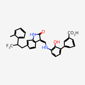 Cc1ccccc1C(Cc1ccc2c(c1)NC(=O)C2=CNc1cccc(-c2cccc(C(=O)O)c2)c1O)C(F)(F)F